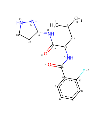 CC(C)CC(NC(=O)c1ccccc1F)C(=O)N[C@@H]1CCNN1